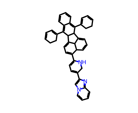 C1=CCCC(C2=c3ccccc3=C(C3=CC=CCC3)C3C4=CC=C(C5=CC=C(c6cn7ccccc7n6)CN5)C5C=CC=C(C45)C23)=C1